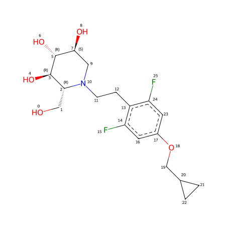 OC[C@@H]1[C@@H](O)[C@H](O)[C@@H](O)CN1CCc1c(F)cc(OCC2CC2)cc1F